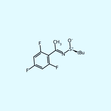 C/C(=N\[S@@+]([O-])C(C)(C)C)c1c(F)cc(F)cc1F